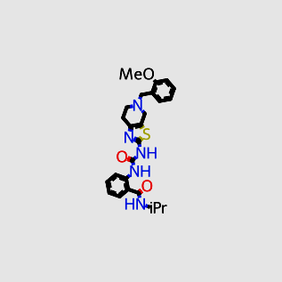 COc1ccccc1CN1CCc2nc(NC(=O)Nc3ccccc3C(=O)NC(C)C)sc2C1